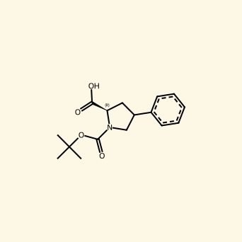 CC(C)(C)OC(=O)N1CC(c2ccccc2)C[C@@H]1C(=O)O